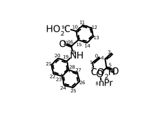 C=CC(=O)O.C=CC(=O)OCCC.O=C(O)c1ccccc1C(=O)Nc1cccc2ccccc12